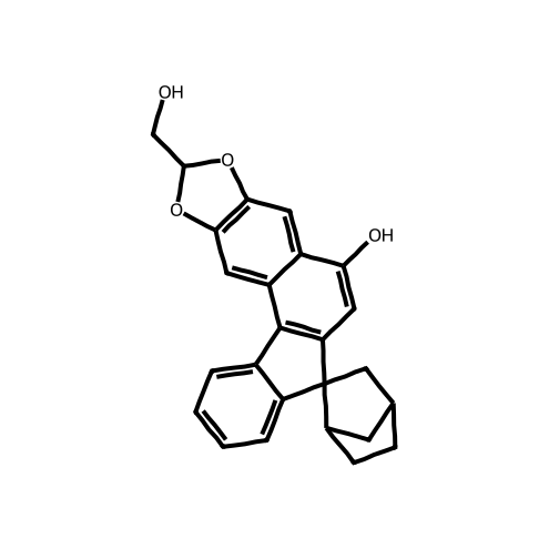 OCC1Oc2cc3c(O)cc4c(c3cc2O1)-c1ccccc1C41CC2CCC1C2